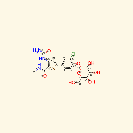 CNC(=O)c1sc(-c2ccc(OC3OC(CO)C(O)C(O)C3O)c(Cl)c2)cc1NC(N)=O